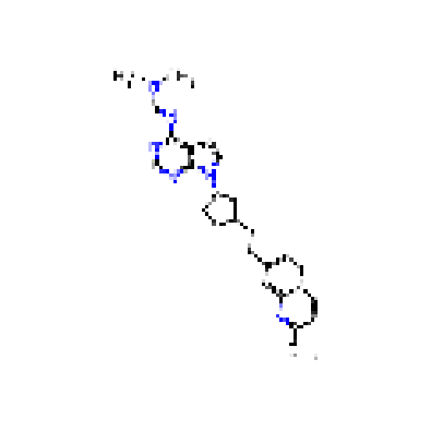 CC1=NC2=CC(CCC3CCC(n4ccc5c(/N=C/N(C)C)ncnc54)C3)=CCC2C=C1